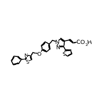 O=C(O)C=Cc1cn(Cc2ccc(OCc3csc(-c4ccccc4)n3)cc2)nc1-c1cccs1